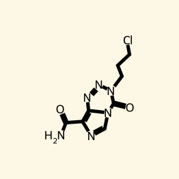 NC(=O)c1ncn2c(=O)n(CCCCl)nnc12